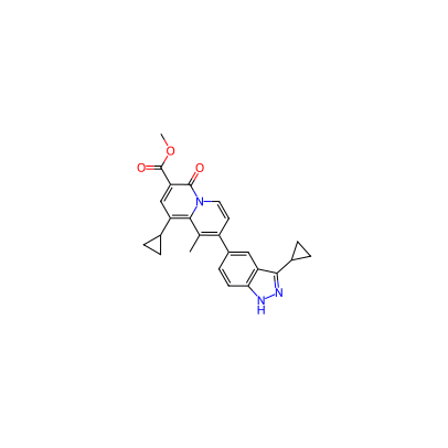 COC(=O)c1cc(C2CC2)c2c(C)c(-c3ccc4[nH]nc(C5CC5)c4c3)ccn2c1=O